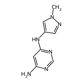 Cn1cc(Nc2cc(N)ncn2)cn1